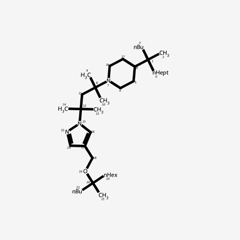 CCCCCCCC(C)(CCCC)C1CCN(C(C)(C)CC(C)(C)n2cc(COC(C)(CCCC)CCCCCC)cn2)CC1